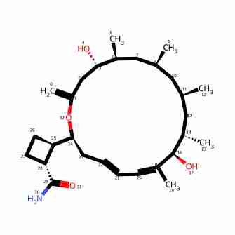 C=C1C[C@H](O)[C@@H](C)C[C@@H](C)C[C@@H](C)C[C@H](C)[C@@H](O)/C(C)=C\C=C\C[C@@H]([C@@H]2CC[C@H]2C(N)=O)O1